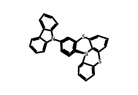 c1ccc([Si]23c4ccccc4Sc4cccc(c42)Sc2cc(-n4c5ccccc5c5ccccc54)ccc23)cc1